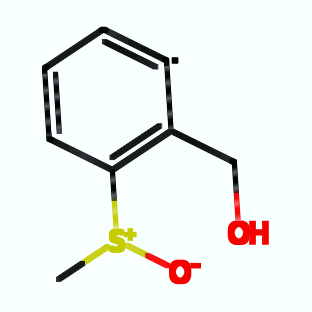 C[S+]([O-])c1ccc[c]c1CO